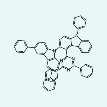 c1ccc(-c2ccc3c(c2)c2cc(-c4ccccc4)ccc2n3-c2ccc3c(c2-c2nc(-c4ccccc4)nc(-c4ccccc4)n2)c2ccccc2n3-c2ccccc2)cc1